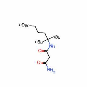 CCCCCCCCCCCCCC(CCCC)(CCCC)NC(=O)CC(N)=O